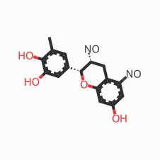 Cc1cc([C@H]2Oc3cc(O)cc(N=O)c3C[C@H]2N=O)cc(O)c1O